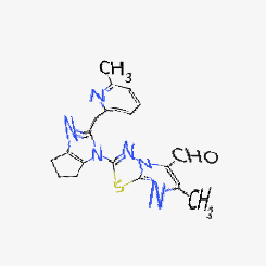 Cc1cccc(-c2nc3c(n2-c2nn4c(C=O)c(C)nc4s2)CCC3)n1